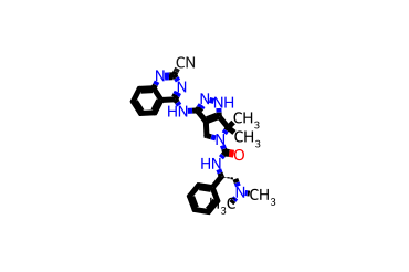 CN(C)C[C@@H](NC(=O)N1Cc2c(Nc3nc(C#N)nc4ccccc34)n[nH]c2C1(C)C)c1ccccc1